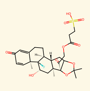 CC1(C)OC2C[C@H]3[C@@H]4CCC5=CC(=O)C=C[C@]5(C)[C@@]4(F)[C@@H](O)C[C@]3(C)[C@]2(C(=O)COC(=O)CCS(=O)(=O)O)O1